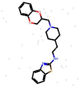 c1ccc2c(c1)OCC(CN1CCC(CCNc3nc4ccccc4s3)CC1)O2